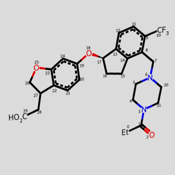 CCC(=O)N1CCN(Cc2c(C(F)(F)F)ccc3c2CC[C@H]3Oc2ccc3c(c2)OCC3CC(=O)O)CC1